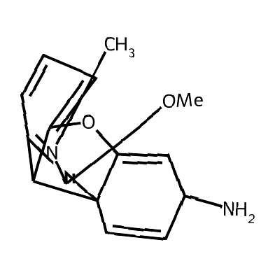 COC1=CC23C=CC(N)C=C2OC2=CC=CC(=CN1C)C23